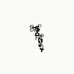 C=C(OC(C)(C)C)N1CCN(C(=O)c2cc(-c3ccc4c(Cl)cc(C(=O)OC)n4n3)ccc2F)CC1